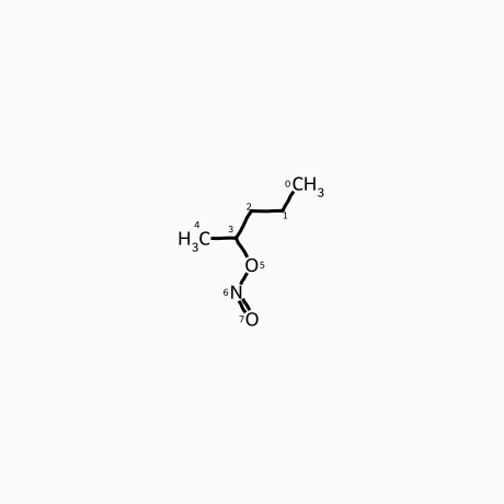 CCCC(C)ON=O